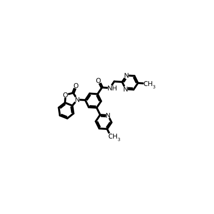 Cc1ccc(-c2cc(C(=O)NCc3ncc(C)cn3)cc(-n3c(=O)oc4ccccc43)c2)nc1